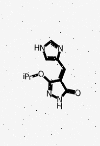 CC(C)OC1=NNC(=O)/C1=C/c1c[nH]cn1